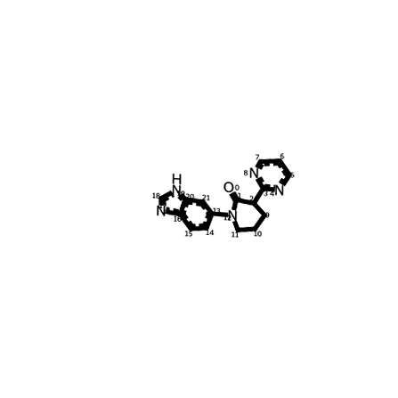 O=C1C(c2ncccn2)CCCN1c1ccc2nc[nH]c2c1